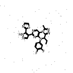 CCC1c2nnc(C)n2-c2cnc(-c3cn[nH]c3-c3nccs3)nc2N1c1ccc(F)c(F)c1